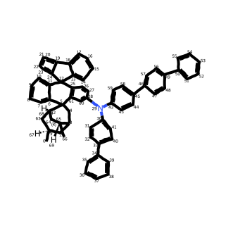 C[C@@H]1CC2CC3(c4ccccc4C4(c5ccccc5-c5ccccc54)c4ccc(N(c5ccc(-c6ccccc6)cc5)c5ccc(-c6ccc(-c7ccccc7)cc6)cc5)cc43)[C@H](C1)C[C@H]2C